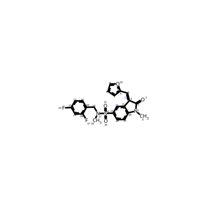 CN1C(=O)/C(=C/c2ccco2)c2cc(S(=O)(=O)N(C)Cc3ccc(F)cc3F)ccc21